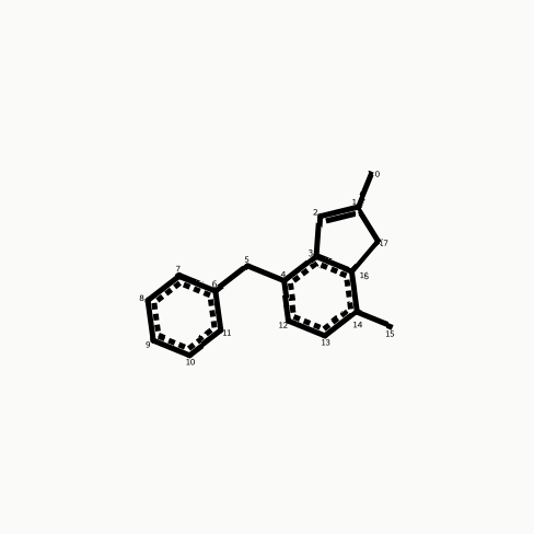 CC1=Cc2c(Cc3ccccc3)ccc(C)c2C1